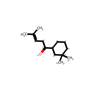 CC(C)=CCC(=O)C1CCCC(C)(C)C1